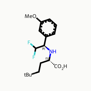 COc1cccc([C@@H](N[C@@H](CCC(C)(C)C)C(=O)O)C(F)F)c1